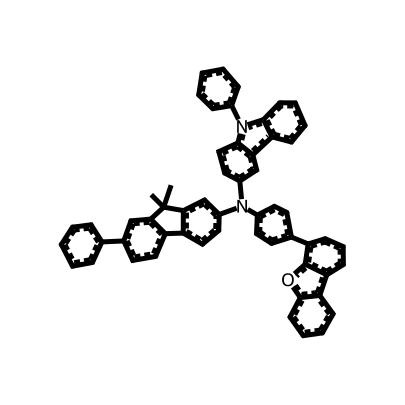 CC1(C)c2cc(-c3ccccc3)ccc2-c2ccc(N(c3ccc(-c4cccc5c4oc4ccccc45)cc3)c3ccc4c(c3)c3ccccc3n4-c3ccccc3)cc21